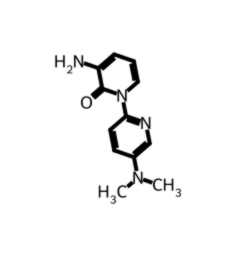 CN(C)c1ccc(-n2cccc(N)c2=O)nc1